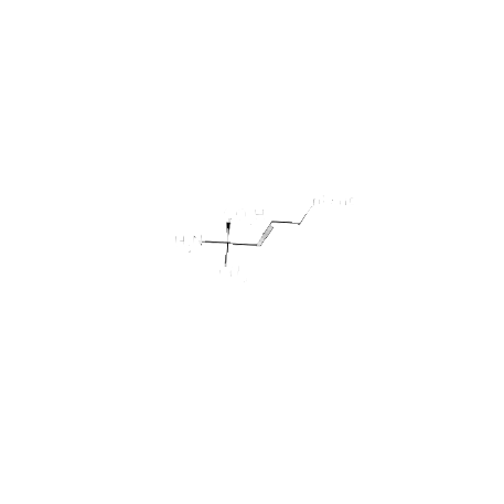 CCCCCCC=C[C@](C)(N)C(=O)O